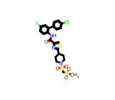 CS(=O)(=O)CS(=O)(=O)N1CCC(c2nc(C(=O)Nc3ccc(F)cc3-c3ccc(Cl)cc3)cs2)CC1